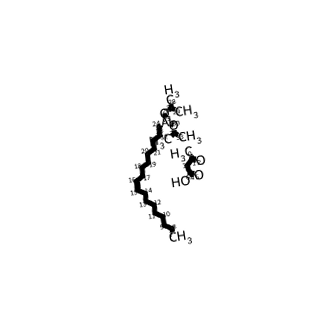 CC(=O)CC(=O)O.CCCCCCCC/C=C\CCCCCCC[CH2][Al]([O]C(C)C)[O]C(C)C